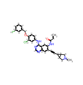 C=CC(=O)Nc1cc2c(Nc3ccc(OCc4cccc(F)c4)c(Cl)c3)ncnc2cc1C#CC1C2CN(C)CC12